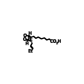 CCC=CC[C@H]1[C@H](CCCCCCCC(=O)O)[C@H]2C[C@H]1OO2